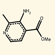 COC(=O)c1ccnc(C)c1N